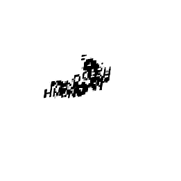 CNC(=O)C(COC)Cn1cnc2ccc(-c3cnc(OC)c(NS(=O)(=O)c4ccc(F)cc4Cl)c3)cc2c1=O